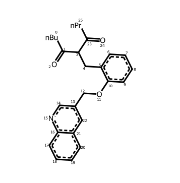 CCCCC(=O)C(Cc1ccccc1OCc1cnc2ccccc2c1)C(=O)CCC